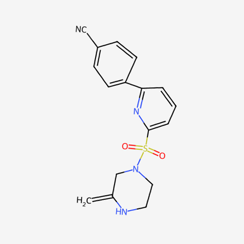 C=C1CN(S(=O)(=O)c2cccc(-c3ccc(C#N)cc3)n2)CCN1